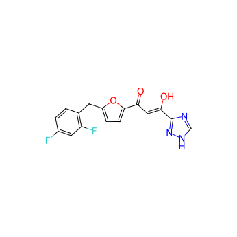 O=C(C=C(O)c1nc[nH]n1)c1ccc(Cc2ccc(F)cc2F)o1